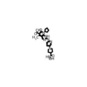 CC(=O)c1c(C)c2cnc(Nc3ccc(N4CCC(C(=O)NO)CC4)cn3)nc2n(C2CCCC2)c1=O